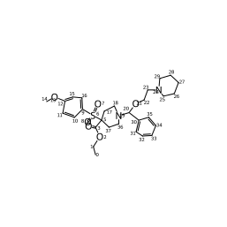 CCOC(=O)C1(S(=O)(=O)c2ccc(OC)cc2)CCN(C(OCCN2CCCCC2)c2ccccc2)CC1